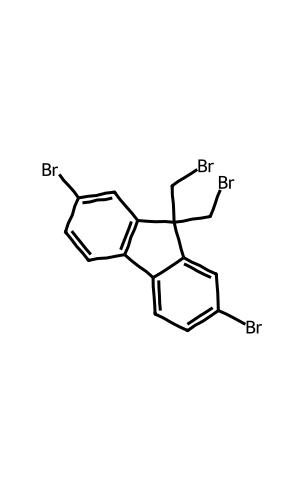 BrCC1(CBr)c2cc(Br)ccc2-c2ccc(Br)cc21